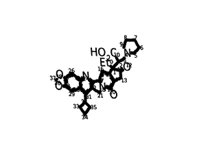 CCC1(C(CN2CCCCC2)C(=O)O)C(=O)Cc2c1cc1n(c2=O)Cc2c-1nc1cc3c(cc1c2C1CCC1)OCO3